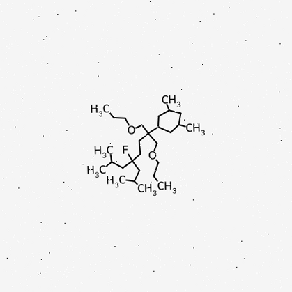 CCCOCC(CCC(F)(CC(C)C)CC(C)C)(COCCC)C1CC(C)CC(C)C1